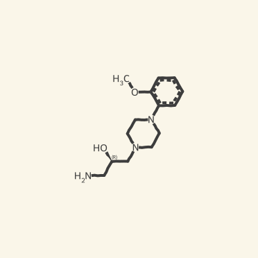 COc1ccccc1N1CCN(C[C@H](O)CN)CC1